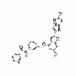 COc1cc(OCc2cccc(NC(=O)c3cccnc3)c2)c2cc(-c3cn4nc(OC)sc4n3)oc2c1